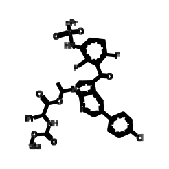 CCCS(=O)(=O)Nc1ccc(F)c(C(=O)c2cn(C(C)OC(=O)C(NC(=O)OC(C)(C)C)C(C)C)c3ncc(-c4ccc(Cl)cc4)cc23)c1F